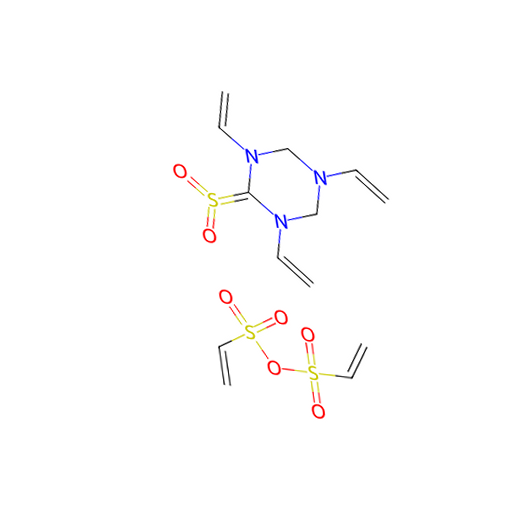 C=CN1CN(C=C)C(=S(=O)=O)N(C=C)C1.C=CS(=O)(=O)OS(=O)(=O)C=C